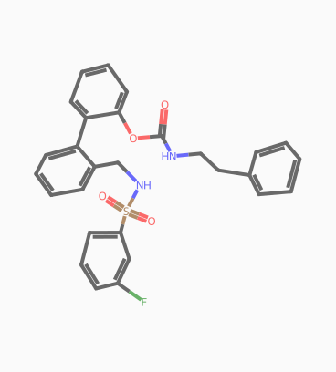 O=C(NCCc1ccccc1)Oc1ccccc1-c1ccccc1CNS(=O)(=O)c1cccc(F)c1